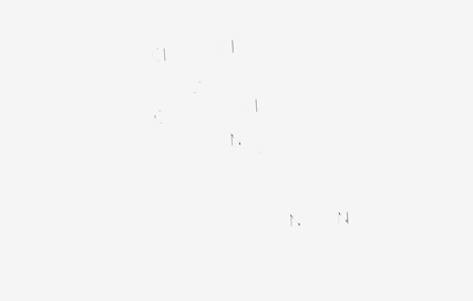 N#[N+]c1ccccc1N.[Cl][Zn]([Cl])([Cl])[Cl]